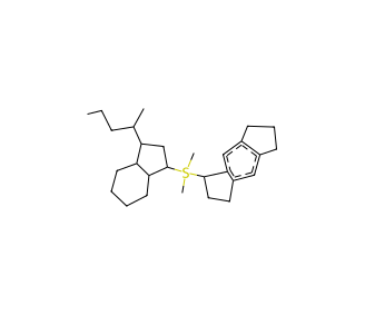 CCCC(C)C1CC(S(C)(C)C2CCc3cc4c(cc32)CCC4)C2CCCCC12